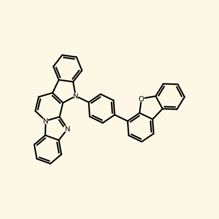 c1ccc2c(c1)nc1c3c(ccn21)c1ccccc1n3-c1ccc(-c2cccc3c2oc2ccccc23)cc1